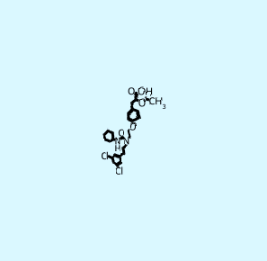 CCOC(Cc1ccc(OCCN(CCCc2cc(Cl)cc(Cl)c2)C(=O)NC2CCCCC2)cc1)C(=O)O